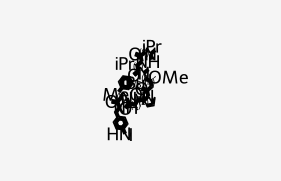 CC[C@H](C)[C@@H]([C@@H](CC(=O)N1CCC[C@H]1[C@H](OC)[C@@H](C)C(=O)N[C@@H](Cc1ccccc1)C(=O)NCc1ccc(NI)cc1)OC)N(C)C(=O)[C@@H](NC(=O)[C@H](C(C)C)N(C)C)C(C)C